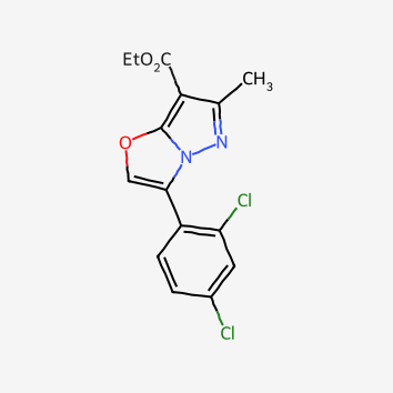 CCOC(=O)c1c(C)nn2c(-c3ccc(Cl)cc3Cl)coc12